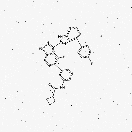 O=C(Nc1cncc(-c2ncc3[nH]nc(-c4nc5c(-c6ccc(F)cc6)ccnc5[nH]4)c3c2F)c1)C1CCC1